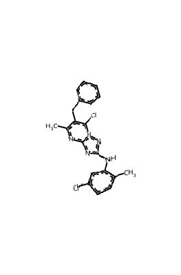 Cc1ccc(Cl)cc1Nc1nc2nc(C)c(Cc3ccccc3)c(Cl)n2n1